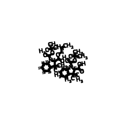 C=CCOC(=O)C1N(C(=O)OC(C)(C)C)c2ccccc2C1(C)C.CC(C)(C)OC(=O)N1c2ccccc2C(C)(C)C1C(=O)O